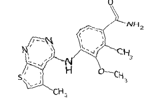 COc1c(Nc2ncnc3scc(C)c23)ccc(C(N)=O)c1C